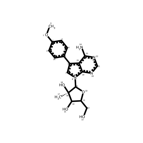 COc1ccc(-c2cn(C3OC(CO)C(O)[C@@]3(C)O)c3ncnc(N)c23)cc1